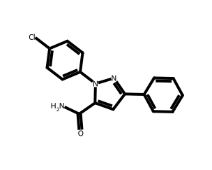 NC(=O)c1cc(-c2ccccc2)nn1-c1ccc(Cl)cc1